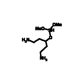 CO[SiH](OC)OC(CCN)CCN